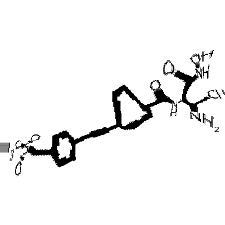 C[C@@H](N)[C@H](NC(=O)c1ccc(C#Cc2ccc(CS(C)(=O)=O)cc2)cc1)C(=O)NO